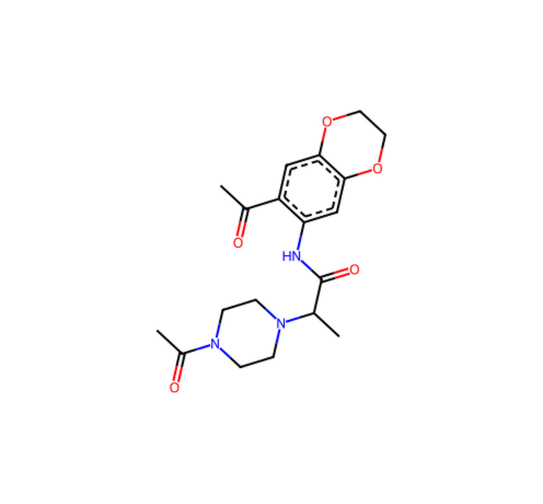 CC(=O)c1cc2c(cc1NC(=O)C(C)N1CCN(C(C)=O)CC1)OCCO2